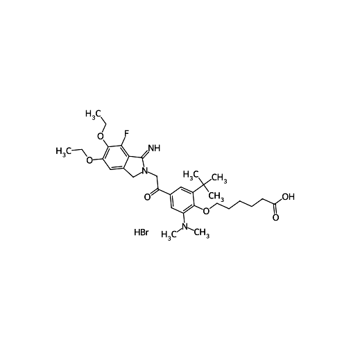 Br.CCOc1cc2c(c(F)c1OCC)C(=N)N(CC(=O)c1cc(N(C)C)c(OCCCCCC(=O)O)c(C(C)(C)C)c1)C2